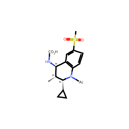 CC(=O)N1c2ccc(S(C)(=O)=O)cc2[C@H](NC(=O)O)[C@@H](C)[C@H]1C1CC1